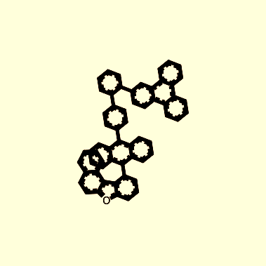 c1ccc(-c2ccc3c4ccccc4c4ccccc4c3c2)c(-c2ccc(-c3c4ccccc4c(-c4cccc5oc6ccc7ccccc7c6c45)c4ccccc34)cc2)c1